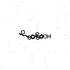 C=CC(=O)CCCCOc1ccc(C(=O)Oc2ccc(O)cc2)cc1